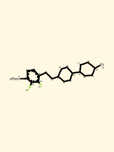 CCCCCc1ccc(CCC2CCC(C3CCC(CC)CC3)CC2)c(F)c1F